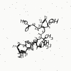 CCC(CC(CCc1cc(O)ccc1CCC(=O)O)C(C)(C)C)n1nc2ccccc2n1